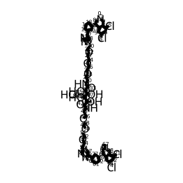 CN1Cc2c(Cl)cc(Cl)cc2[C@H](c2cccc(-c3cn(CCOCCOCCOCCNC(=O)[C@@H](O)[C@H](O)[C@H](O)[C@@H](O)C(=O)NCCOCCOCCOCCn4cc(-c5cccc([C@@H]6CN(C)Cc7c(Cl)cc(Cl)cc76)c5)nn4)nn3)c2)C1.Cl